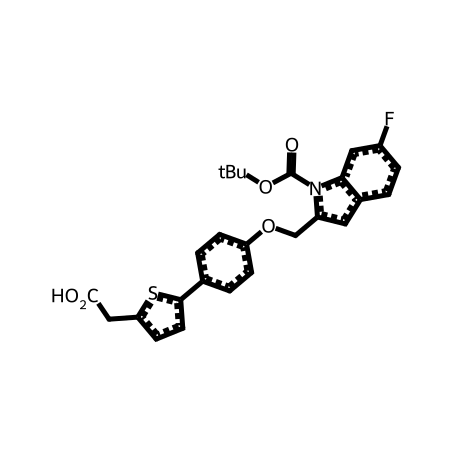 CC(C)(C)OC(=O)n1c(COc2ccc(-c3ccc(CC(=O)O)s3)cc2)cc2ccc(F)cc21